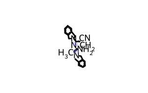 C=C(C#N)/C(=N\C(N)=C(/C)N1Cc2ccccc2C1)N1Cc2ccccc2C1